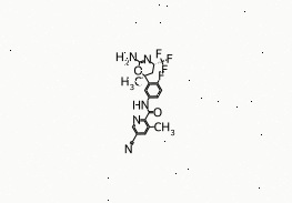 Cc1cc(C#N)cnc1C(=O)Nc1ccc(F)c([C@]2(C)C[C@@H](C(F)(F)F)N=C(N)O2)c1